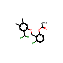 COC(=O)Oc1cccc(F)c1COc1cc(C)c(C)cc1C(F)F